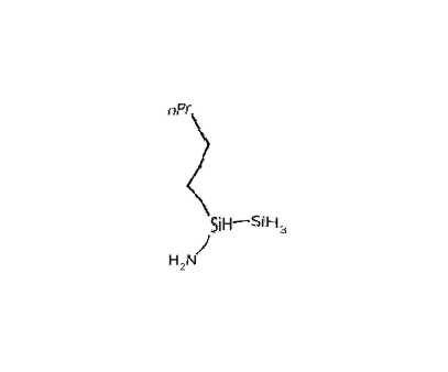 CCCCC[SiH](N)[SiH3]